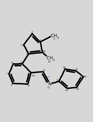 CC1=CCC(c2ccccc2/C=N/c2ccccc2)=C1C